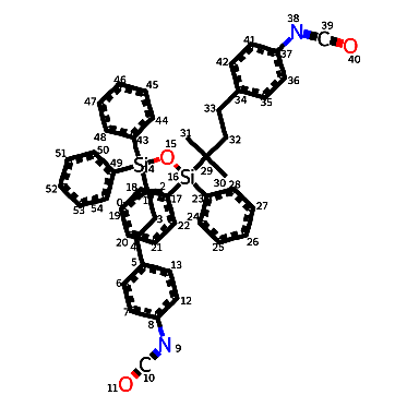 CC(C)(CCc1ccc(N=C=O)cc1)[Si](O[Si](c1ccccc1)(c1ccccc1)C(C)(C)CCc1ccc(N=C=O)cc1)(c1ccccc1)c1ccccc1